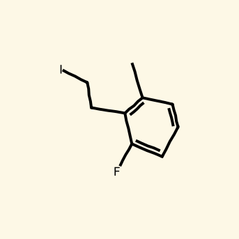 Cc1cccc(F)c1CCI